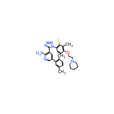 Cc1ccc(C)c(-c2cnc(N)c(-c3nnnn3-c3ccc(OCCN4CCCCC4)c(C)c3F)c2)c1